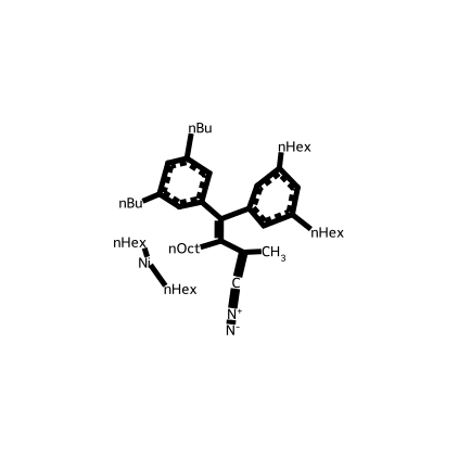 CCCCCCCCC(C(C)=C=[N+]=[N-])=C(c1cc(CCCC)cc(CCCC)c1)c1cc(CCCCCC)cc(CCCCCC)c1.CCCCC[CH2][Ni][CH2]CCCCC